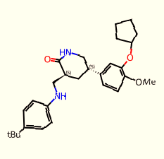 COc1ccc([C@H]2CNC(=O)[C@H](CNc3ccc(C(C)(C)C)cc3)C2)cc1OC1CCCC1